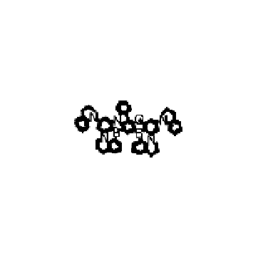 c1ccc2c(c1)CCCN2c1cc2c3c(c1)N1CCCc4cccc(c41)B3c1cc3c4c(c1O2)c1ccccc1n4-c1cc(N2CCCc4ccccc42)cc2c1B3c1cccc3c1N2CCC3